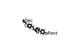 CCCCCCCCCCCCOc1ccc(CCc2cnc([C@H]3CC[C@H](CCCCC)CC3)nc2)cc1